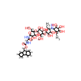 CC1=C[C@@H](N[C@H]2C(C)O[C@@H](O[C@H]3C(CO)O[C@@H](O[C@H]4C(CO)O[C@@H](NC(=O)CNC(=O)OCC5c6ccccc6-c6ccccc65)C(O)C4O)C(O)C3O)C(O)C2O)C(O)C(O)[C@H]1O